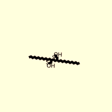 CCCCCCCCCCCCC(CCC(CCCCCCCCCCCC)CC(O)=S)CC(O)=S